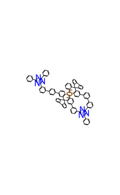 c1ccc(-c2nc(-c3ccccc3)nc(-c3cccc(-c4ccc(-c5ccc6c(c5)C5(c7cc(-c8cccc(-c9nc(-c%10ccccc%10)nc(-c%10cccc(-c%11cccc(-c%12ccc%13c(c%12)C%12(c%14ccccc%14S%13)c%13ccccc%13-c%13ccccc%13%12)c%11)c%10)n9)c8)ccc7S6)c6ccccc6-c6ccccc65)cc4)c3)n2)cc1